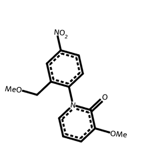 COCc1cc([N+](=O)[O-])ccc1-n1cccc(OC)c1=O